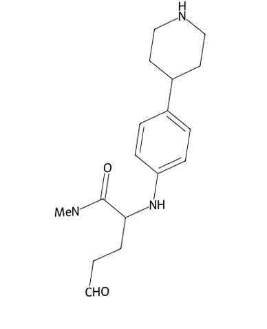 CNC(=O)C(CCC=O)Nc1ccc(C2CCNCC2)cc1